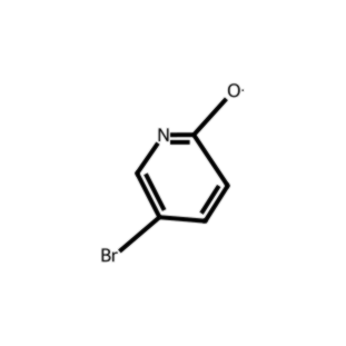 [O]c1ccc(Br)cn1